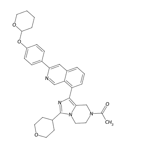 CC(=O)N1CCn2c(C3CCOCC3)nc(-c3cccc4cc(-c5ccc(OC6CCCCO6)cc5)ncc34)c2C1